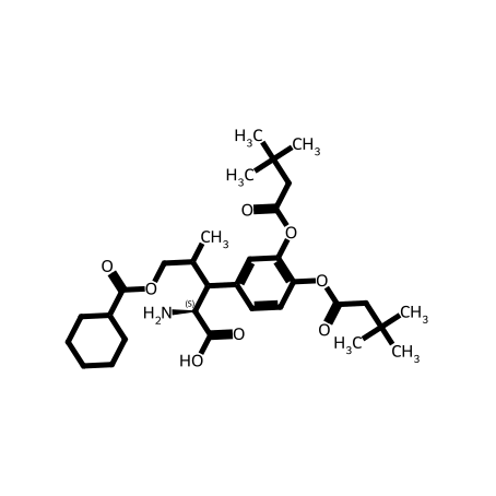 CC(COC(=O)C1CCCCC1)C(c1ccc(OC(=O)CC(C)(C)C)c(OC(=O)CC(C)(C)C)c1)[C@H](N)C(=O)O